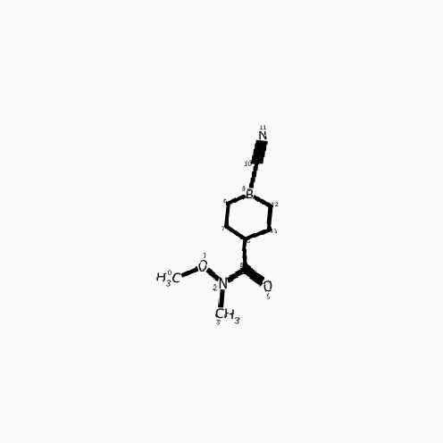 CON(C)C(=O)C1CCB(C#N)CC1